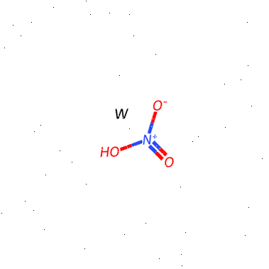 O=[N+]([O-])O.[W]